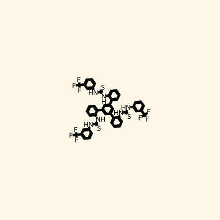 FC(F)(F)c1cccc(NC(=S)Nc2ccccc2-c2cc(-c3ccccc3NC(=S)Nc3cccc(C(F)(F)F)c3)cc(-c3ccccc3NC(=S)Nc3cccc(C(F)(F)F)c3)c2)c1